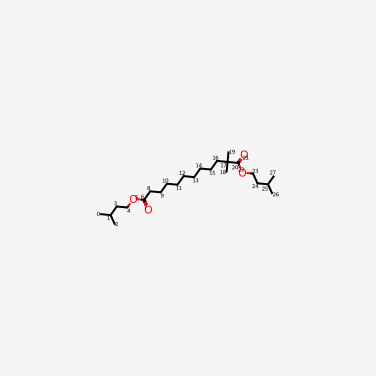 CC(C)CCOC(=O)CCCCCCCCCC(C)(C)C(=O)OCCC(C)C